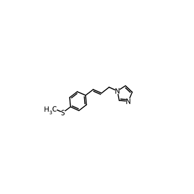 CSc1ccc(C=CCn2ccnc2)cc1